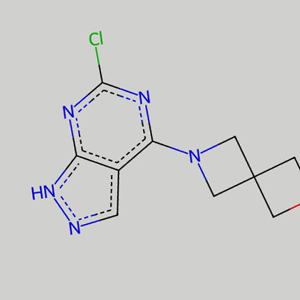 Clc1nc(N2CC3(COC3)C2)c2cn[nH]c2n1